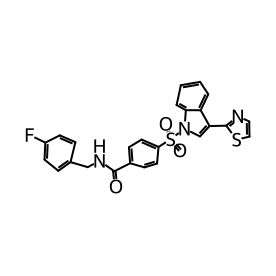 O=C(NCc1ccc(F)cc1)c1ccc(S(=O)(=O)n2cc(-c3nccs3)c3ccccc32)cc1